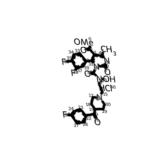 COC(=O)c1c(C)nc(=O)n(C(=O)N(O)CCN2CCC(C(=O)c3ccc(F)cc3)CC2)c1-c1ccc(F)c(F)c1.Cl